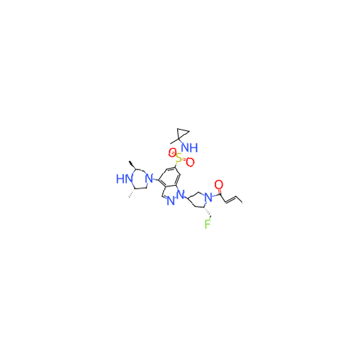 C/C=C/C(=O)N1C[C@H](n2ncc3c(N4C[C@H](C)N[C@@H](C)C4)cc(S(=O)(=O)NC4(C)CC4)cc32)C[C@H]1CF